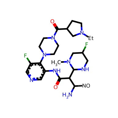 CCN1CCC(C(=O)N2CCN(c3c(F)cncc3NC(=O)C(C(N)N=O)C3NCC(F)CN3C)CC2)C1